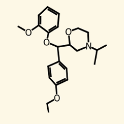 CCOc1ccc(C(Oc2ccccc2OC)C2CN(C(C)C)CCO2)cc1